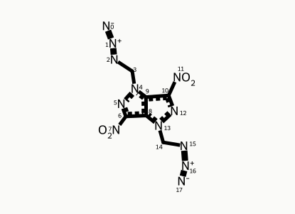 [N-]=[N+]=NCn1nc([N+](=O)[O-])c2c1c([N+](=O)[O-])nn2CN=[N+]=[N-]